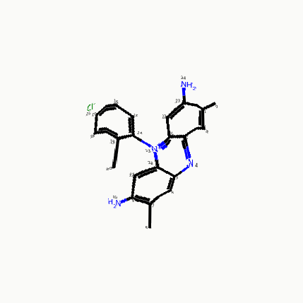 Cc1cc2nc3cc(C)c(N)cc3[n+](-c3ccccc3C)c2cc1N.[Cl-]